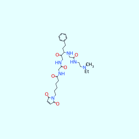 CCN(C)CCNC(=O)CNC(CCc1ccccc1)C(=O)CNC(=O)CNC(=O)CCCCCN1C(=O)C=CC1=O